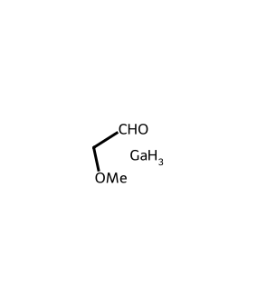 COCC=O.[GaH3]